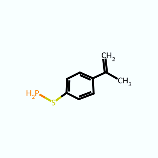 C=C(C)c1ccc(SP)cc1